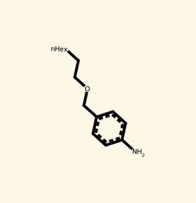 CCCCCCCCOCc1ccc(N)cc1